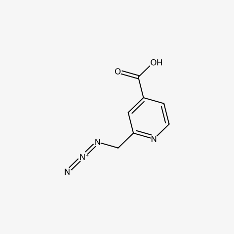 [N-]=[N+]=NCc1cc(C(=O)O)ccn1